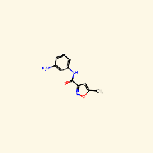 Cc1cc(C(=O)Nc2cccc(N)c2)no1